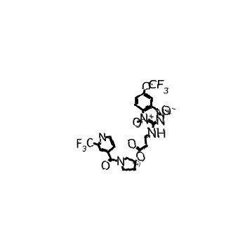 O=C(CCNc1n[n+]([O-])c2cc(OC(F)(F)F)ccc2[n+]1[O-])O[C@H]1CCN(C(=O)c2ccnc(C(F)(F)F)c2)C1